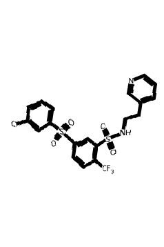 O=S(=O)(NCCc1cccnc1)c1cc(S(=O)(=O)c2cccc(Cl)c2)ccc1C(F)(F)F